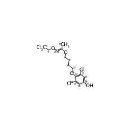 CC(=NOCC(Cl)(Cl)Cl)OCCCCOc1c(Cl)cc(O)cc1Cl